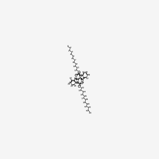 CCCCCCCCCCCCCOC(=O)n1c(-c2nc3c(C)c(C)ccc3n2C(=O)OCCCCCCCCCCCCC)nc2ccccc21